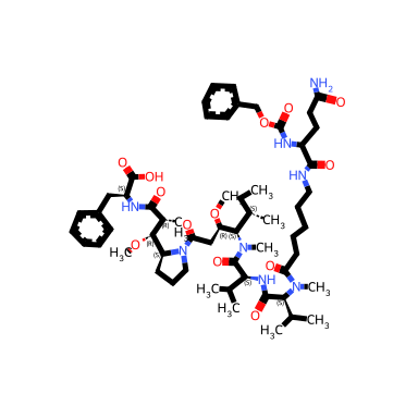 CC[C@H](C)[C@@H]([C@@H](CC(=O)N1CCC[C@H]1[C@H](OC)[C@@H](C)C(=O)N[C@@H](Cc1ccccc1)C(=O)O)OC)N(C)C(=O)[C@@H](NC(=O)[C@H](C(C)C)N(C)C(=O)CCCCCNC(=O)C(CCC(N)=O)NC(=O)OCc1ccccc1)C(C)C